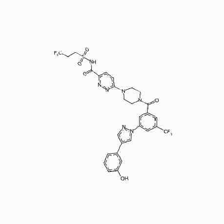 O=C(NS(=O)(=O)CCC(F)(F)F)c1ccc(N2CCN(C(=O)c3cc(-n4cc(-c5cccc(O)c5)cn4)cc(C(F)(F)F)c3)CC2)nn1